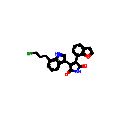 O=C1NC(=O)C(c2cccc3ccoc23)=C1c1c[nH]c2c(CCCBr)cccc12